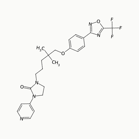 CC(C)(CCCN1CCN(c2ccncc2)C1=O)COc1ccc(-c2noc(C(F)(F)F)n2)cc1